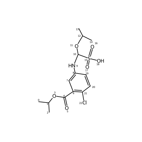 CC(C)OC(=O)c1cc(NC(OC(C)C)S(=O)(=O)O)ccc1Cl